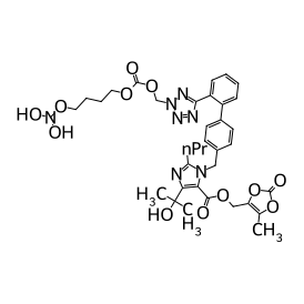 CCCc1nc(C(C)(C)O)c(C(=O)OCc2oc(=O)oc2C)n1Cc1ccc(-c2ccccc2-c2nnn(COC(=O)OCCCCON(O)O)n2)cc1